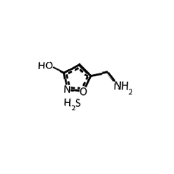 NCc1cc(O)no1.S